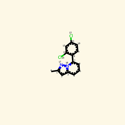 Cc1cc2cccc(-c3ccc(Cl)cc3Cl)n2n1